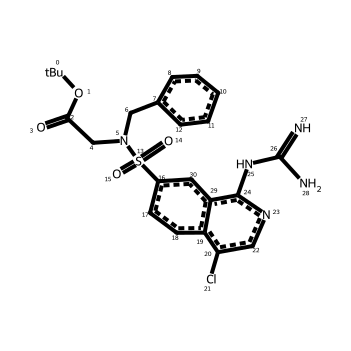 CC(C)(C)OC(=O)CN(Cc1ccccc1)S(=O)(=O)c1ccc2c(Cl)cnc(NC(=N)N)c2c1